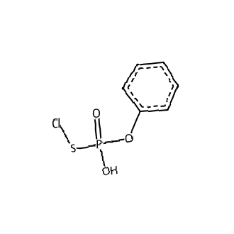 O=P(O)(Oc1ccccc1)SCl